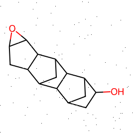 OC1CC2CC1C1C3CC(C4CC5OC5C43)C21